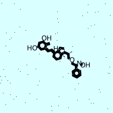 C=C1/C(=C\C=C2/CCC[C@]3(C)[C@@H]([C@H](C)COCC(=NO)c4ccccc4)CC[C@@H]23)C[C@@H](O)C[C@@H]1O